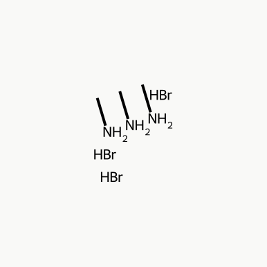 Br.Br.Br.CN.CN.CN